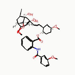 COc1cccc(C(=O)Nc2ccccc2C(=O)O[C@H]2CC[C@H](OC)CC2CC[C@@]2(O)CC(OC)[C@H]3CC(C)[C@]2(O)[C@H]3OC)c1